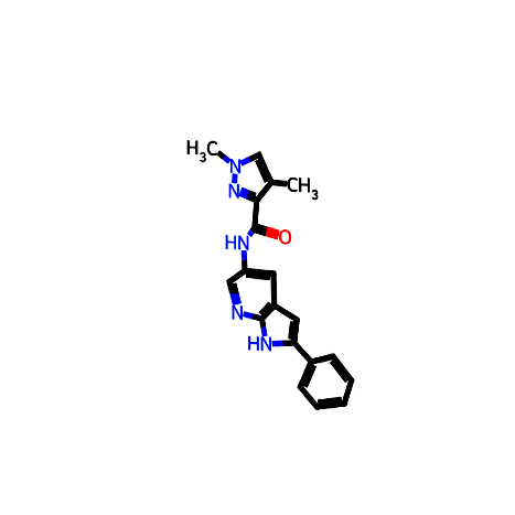 Cc1cn(C)nc1C(=O)Nc1cnc2[nH]c(-c3ccccc3)cc2c1